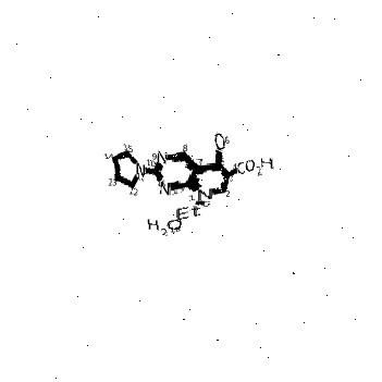 CCn1cc(C(=O)O)c(=O)c2cnc(N3CCCC3)nc21.O